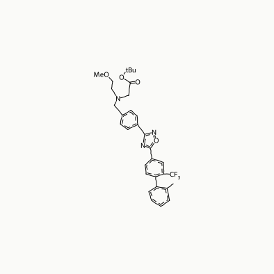 COCCN(CC(=O)OC(C)(C)C)Cc1ccc(-c2noc(-c3ccc(-c4ccccc4C)c(C(F)(F)F)c3)n2)cc1